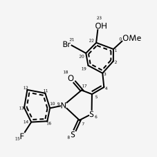 COc1cc(/C=C2/SC(=S)N(c3cccc(F)c3)C2=O)cc(Br)c1O